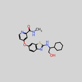 CNC(=O)c1cc(Oc2ccc3nc(NC(CO)C4CCCCC4)sc3c2)ccn1